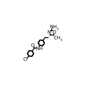 C[C@@H]1OC(N)=N[C@H]1CCc1ccc(NC(=O)c2ccc(Cl)cc2)cc1